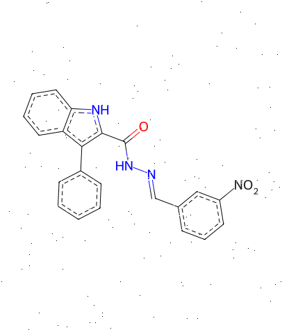 O=C(NN=Cc1cccc([N+](=O)[O-])c1)c1[nH]c2ccccc2c1-c1ccccc1